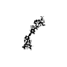 CC[C@@H](C)[C@H](NC(=O)OC)C(=O)N1CCC[C@H]1c1ncc(-c2ccc(C#Cc3ccc4nc([C@@H]5CC6(CC6)CN5C(=O)[C@@H](C)C(C)C)[nH]c4c3)cc2)[nH]1